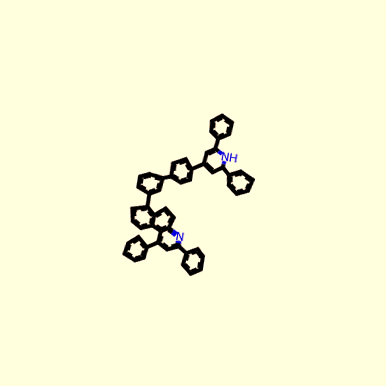 C1=C(c2ccc(-c3cccc(-c4cccc5c4ccc4nc(-c6ccccc6)cc(-c6ccccc6)c45)c3)cc2)C=C(c2ccccc2)NC1c1ccccc1